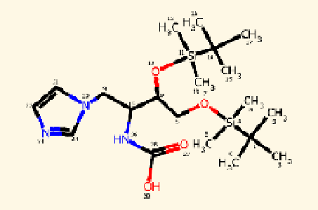 CC(C)(C)[Si](C)(C)OCC(O[Si](C)(C)C(C)(C)C)C(Cn1ccnc1)NC(=O)O